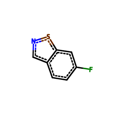 Fc1ccc2cnsc2c1